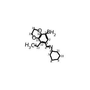 Bc1cc(/C=N/C2CCCCC2)c(CC)c2c1OCCO2